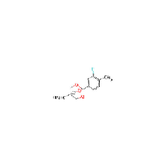 CCCCCC12COC(c3ccc(C)c(F)c3)(OC1)OC2